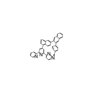 N#Cc1ccc(-c2cc3ccccc3cc2-c2ccc3c(-c4cc(-c5ccccn5)nc(-c5ccccn5)c4)cccc3c2)cc1